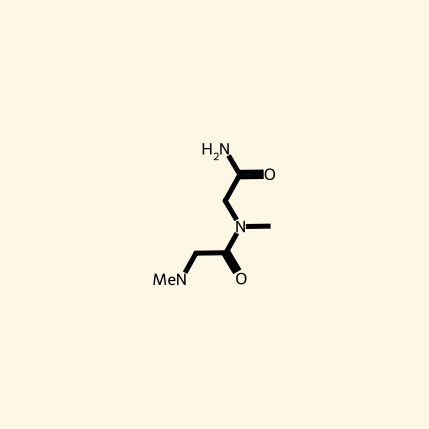 CNCC(=O)N(C)CC(N)=O